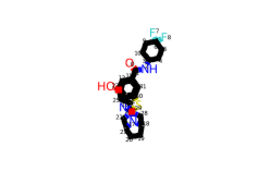 O=C(NC1CCC(F)(F)CC1)c1ccc2nc(N3C4CCC3CN(CCCO)C4)sc2c1